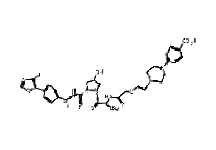 Cc1ncsc1-c1ccc([C@H](C)NC(=O)[C@@H]2C[C@@H](O)CN2C(=O)C(NC(=O)COCCN2CCN(c3ccc(C(=O)O)cn3)CC2)C(C)(C)C)cc1